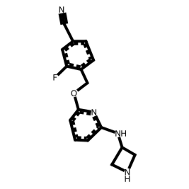 N#Cc1ccc(COc2cccc(NC3CNC3)n2)c(F)c1